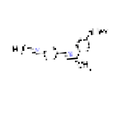 C/C=C/c1ccc(/C=C/B(C)c2ccc(CCCCCC)cc2)cc1